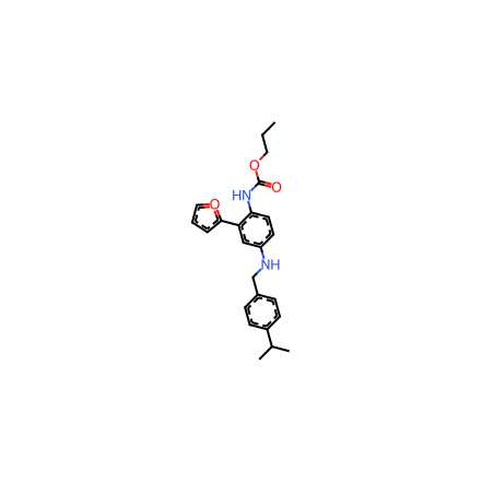 CCCOC(=O)Nc1ccc(NCc2ccc(C(C)C)cc2)cc1-c1ccco1